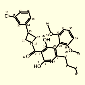 CCCCc1nc(O)c(C(=O)N2CC(c3cccc(Cl)c3)C2)c(O)c1-c1c(OC)cccc1OC